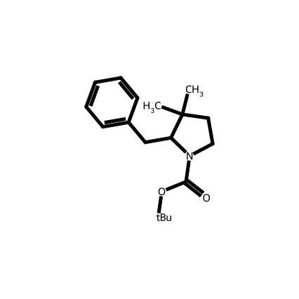 CC(C)(C)OC(=O)N1CCC(C)(C)C1Cc1ccccc1